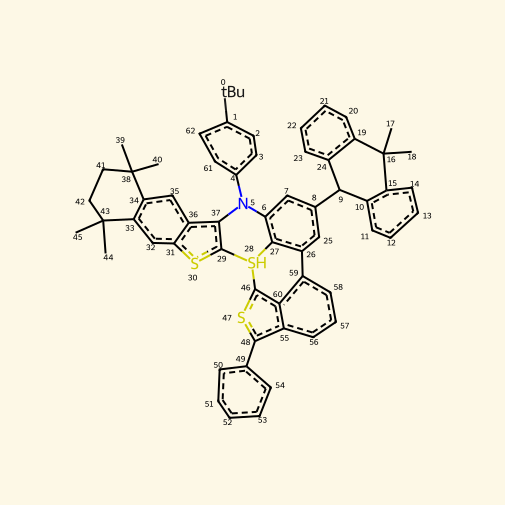 CC(C)(C)c1ccc(N2c3cc(C4c5ccccc5C(C)(C)c5ccccc54)cc4c3[SH](c3sc5cc6c(cc5c32)C(C)(C)CCC6(C)C)c2sc(-c3ccccc3)c3cccc-4c23)cc1